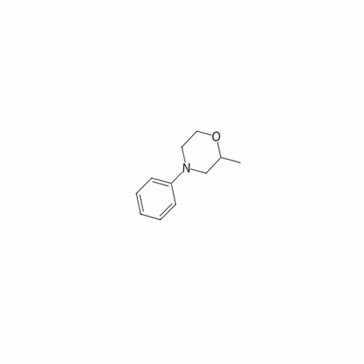 CC1CN(c2ccccc2)CCO1